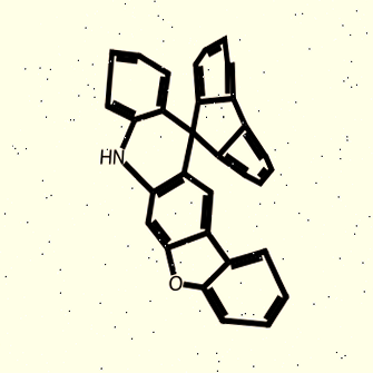 c1ccc2c(c1)Nc1cc3oc4ccccc4c3cc1C21c2ccccc2-c2ccccc21